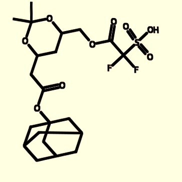 CC1(C)OC(COC(=O)C(F)(F)S(=O)(=O)O)CC(CC(=O)OC23CC4CC(CC(C4)C2)C3)O1